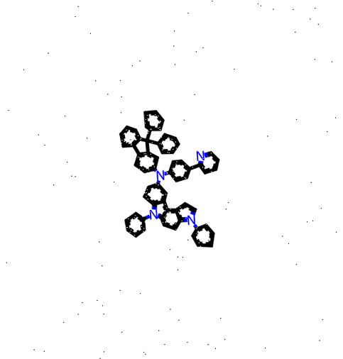 c1ccc(-n2ccc3c4c5cc(N(c6ccc(-c7ccccn7)cc6)c6ccc7c(c6)C(c6ccccc6)(c6ccccc6)c6ccccc6-7)ccc5n(-c5ccccc5)c4ccc32)cc1